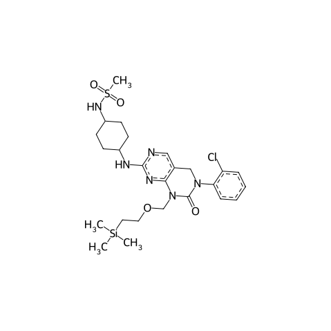 C[Si](C)(C)CCOCN1C(=O)N(c2ccccc2Cl)Cc2cnc(NC3CCC(NS(C)(=O)=O)CC3)nc21